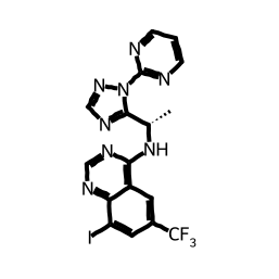 C[C@H](Nc1ncnc2c(I)cc(C(F)(F)F)cc12)c1ncnn1-c1ncccn1